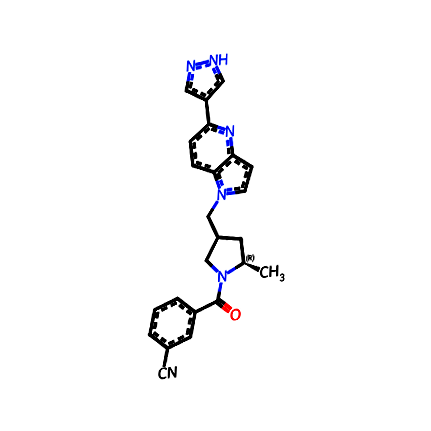 C[C@@H]1CC(Cn2ccc3nc(-c4cn[nH]c4)ccc32)CN1C(=O)c1cccc(C#N)c1